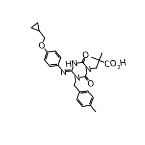 Cc1ccc(Cn2c(=O)n(CC(C)(C)C(=O)O)c(=O)[nH]/c2=N\c2ccc(OCC3CC3)cc2)cc1